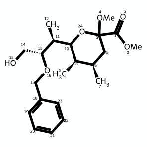 COC(=O)C1(OC)C[C@@H](C)[C@@H](C)C([C@H](C)[C@@H](CO)OCc2ccccc2)O1